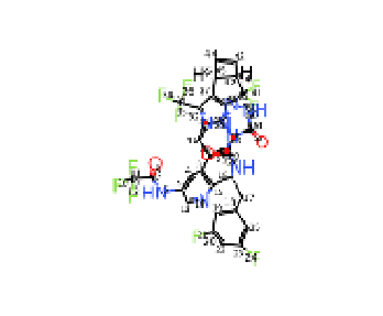 Cc1c(-c2cc(NC(=O)C(F)(F)F)cnc2[C@H](Cc2cc(F)cc(F)c2)NC(=O)Cn2nc(C(F)(F)F)c3c2C(F)(F)[C@@H]2C=C[C@H]32)ccc2n[nH]c(=O)n12